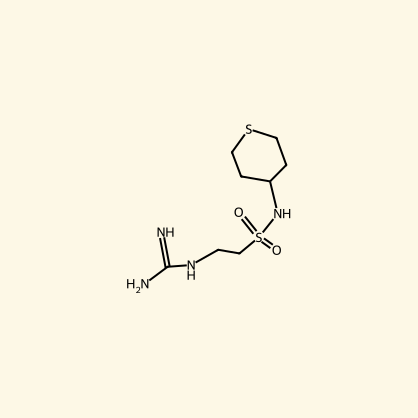 N=C(N)NCCS(=O)(=O)NC1CCSCC1